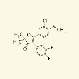 CSc1ccc(C2=C(c3ccc(F)c(F)c3)C(=O)C(C)(C)O2)cc1Cl